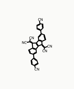 N#CC(C#N)=C1C2=C(C(=C(C#N)C#N)c3ccc(-c4ccc(C#N)cc4)cc32)c2cc(-c3ccc(C#N)cc3)ccc21